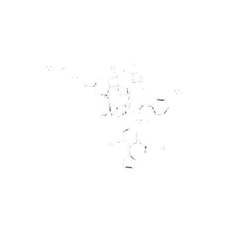 COc1ccc(OC)c(C(=O)O[C@H]2[C@@H]3[C@]4(OC(C)=O)CO[C@@H]4C[C@H]4O[C@@H]([C@H](OC(=O)CCCSSC)C5=C(C)[C@@H](OC(=O)[C@H](O)[C@@H](NC(=O)OC(C)(C)C)c6ccco6)C[C@]2(O)C5(C)C)[C@@]34C)c1